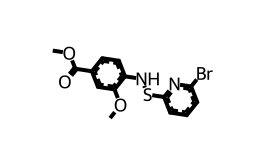 COC(=O)c1ccc(NSc2cccc(Br)n2)c(OC)c1